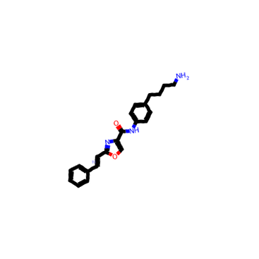 NCCCCc1ccc(NC(=O)c2coc(/C=C/c3ccccc3)n2)cc1